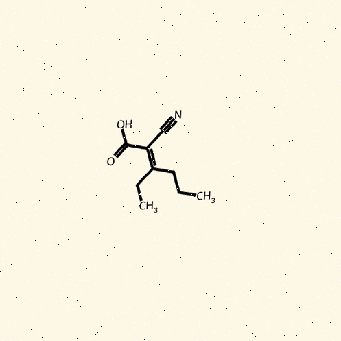 CCC/C(CC)=C(\C#N)C(=O)O